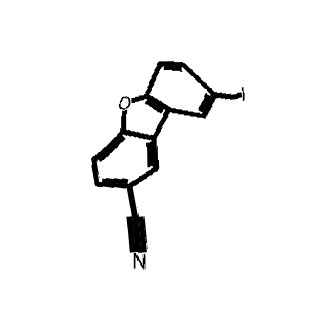 N#Cc1ccc2oc3ccc(I)cc3c2c1